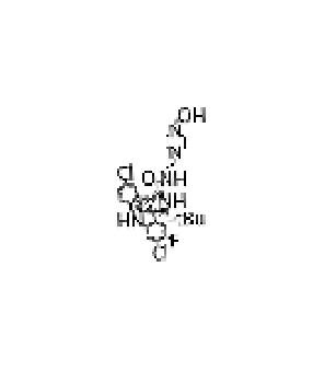 CC(C)(C)C[C@H]1N[C@@H](C(=O)NCCN2CCN(CO)CC2)[C@H](c2cccc(Cl)c2)[C@@]12C(=O)Nc1cc(Cl)c(F)cc12